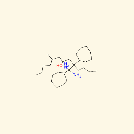 CCCCC(C)CC(O)CC(CCCC)(C1CCCCCC1)C(N)(N)C1CCCCCC1